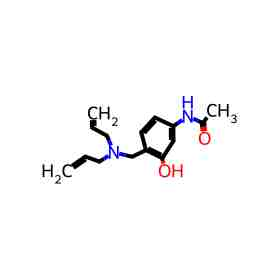 C=CCN(CC=C)Cc1ccc(NC(C)=O)cc1O